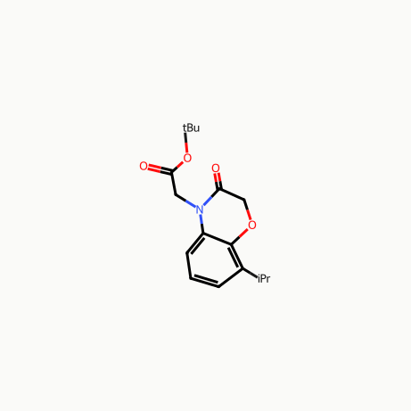 CC(C)c1cccc2c1OCC(=O)N2CC(=O)OC(C)(C)C